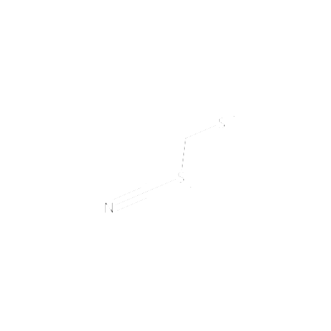 N#CSC[S]